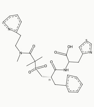 CN(CCc1ccccn1)C(=O)C(C)(C)S(=O)(=O)C[C@@H](Cc1ccccc1)C(=O)NC(Cc1cscn1)C(=O)O